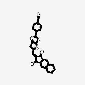 N#Cc1ccc(-c2nc3sc(C=C4C(=O)c5cc6ccccc6cc5C4=O)cc3o2)cc1